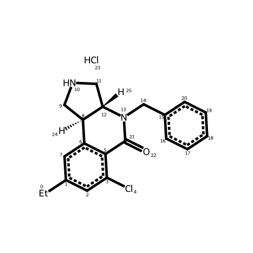 CCc1cc(Cl)c2c(c1)[C@H]1CNC[C@@H]1N(Cc1ccccc1)C2=O.Cl